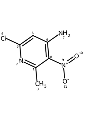 Cc1nc(Cl)cc(N)c1[N+](=O)[O-]